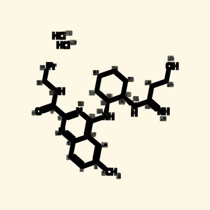 Cc1ccc2nc(C(=O)NCC(C)C)nc(N[C@H]3CCCC[C@H]3NC(=N)CCO)c2c1.Cl.Cl